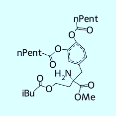 CCCCCC(=O)Oc1ccc(C[C@](N)(CCOC(=O)C(C)CC)C(=O)OC)cc1OC(=O)CCCCC